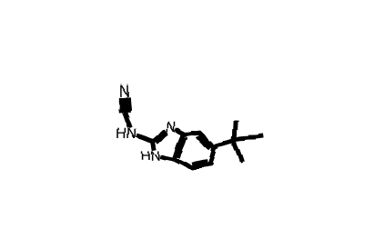 CC(C)(C)c1ccc2[nH]c(NC#N)nc2c1